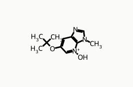 Cn1cnc2cc(OC(C)(C)C)c[n+](O)c21